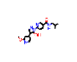 COc1cc(-c2cnn(-c3ccc(C(=O)NCC(C)C)cn3)c2O)ccn1